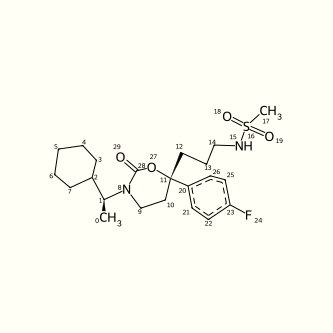 C[C@@H](C1CCCCC1)N1CC[C@@](CCCNS(C)(=O)=O)(c2ccc(F)cc2)OC1=O